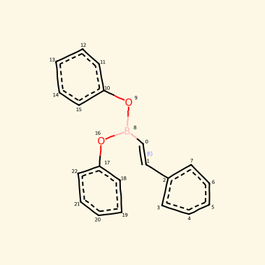 C(=C\c1ccccc1)/B(Oc1ccccc1)Oc1ccccc1